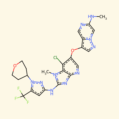 CNc1cn2ncc(Oc3cnc4nc(Nc5cc(C(F)(F)F)n(C6CCOCC6)n5)n(C)c4c3Cl)c2cn1